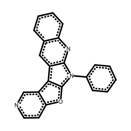 c1ccc(-n2c3nc4ccccc4cc3c3c4cnccc4oc32)cc1